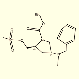 CN(Cc1ccccc1)[C@@H]1C[C@@H](COS(C)(=O)=O)N(C(=O)OC(C)(C)C)C1